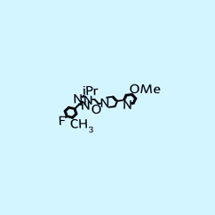 COc1ccnc(C2=CCN(C(=O)Cn3nc(-c4ccc(F)c(C)c4)nc3C(C)C)CC2)c1